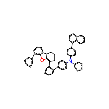 C1=CC(c2ccccc2-c2ccc(N(c3ccccc3)c3ccc(-c4cccc5ccccc45)cc3)cc2)=C2Oc3c(-c4ccccc4)cccc3C2C1